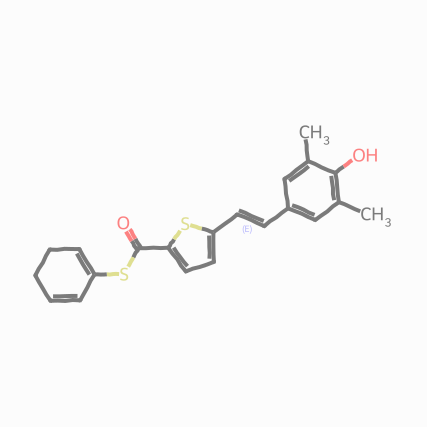 Cc1cc(/C=C/c2ccc(C(=O)SC3=CCCC=C3)s2)cc(C)c1O